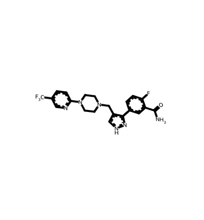 NC(=O)c1cc(-c2n[nH]cc2CN2CCN(c3ccc(C(F)(F)F)cn3)CC2)ccc1F